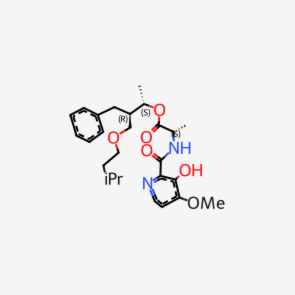 COc1ccnc(C(=O)N[C@@H](C)C(=O)O[C@@H](C)[C@@H](COCCC(C)C)Cc2ccccc2)c1O